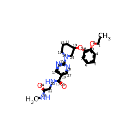 CCOc1ccccc1OC1CCCN(c2ncc(C(=O)NCC(=O)NC)cn2)C1